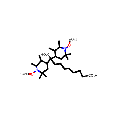 CCCCCCCCON1C(C)C(C)C(C(CCCCCCCC(=O)O)(C(=O)O)C2CC(C)(C)N(OCCCCCCCC)C(C)C2C)CC1(C)C